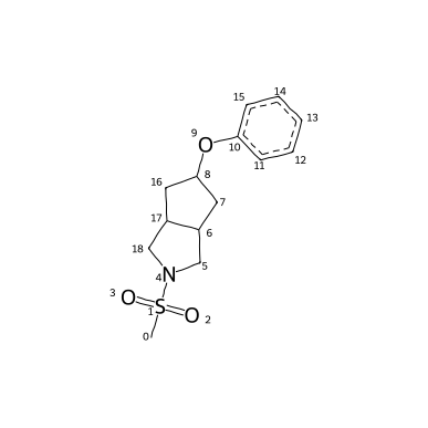 CS(=O)(=O)N1CC2CC(Oc3ccccc3)CC2C1